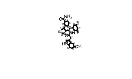 NC(=O)c1cccc(-c2cncnc2C(Cc2cc(F)cc(F)c2)NC(=O)Cc2c[nH]c3ccc(O)cc23)c1